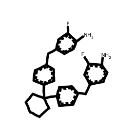 Nc1ccc(Cc2ccc(C3(c4ccc(Cc5ccc(N)c(F)c5)cc4)CCCCC3)cc2)cc1F